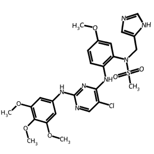 COc1ccc(Nc2nc(Nc3cc(OC)c(OC)c(OC)c3)ncc2Cl)c(N(Cc2cnc[nH]2)S(C)(=O)=O)c1